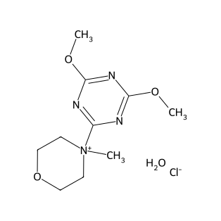 COc1nc(OC)nc([N+]2(C)CCOCC2)n1.O.[Cl-]